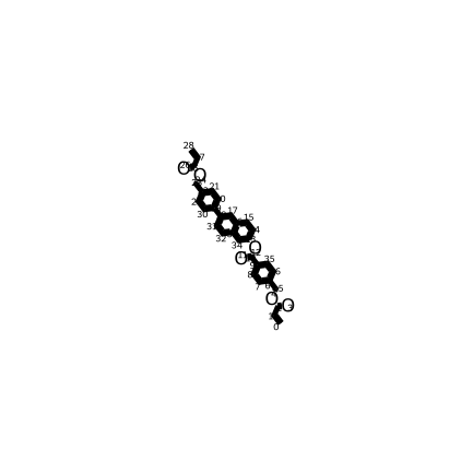 C=CC(=O)OCc1ccc(C(=O)Oc2ccc3cc(-c4ccc(COC(=O)C=C)cc4)ccc3c2)cc1